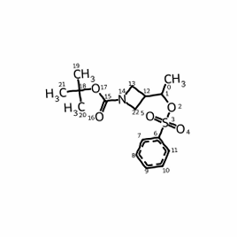 CC(OS(=O)(=O)c1ccccc1)C1CN(C(=O)OC(C)(C)C)C1